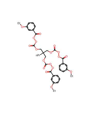 CCCC(COC(=O)OOC(=O)c1cccc(OCC)c1)(COC(=O)OOC(=O)c1cccc(OCC)c1)COC(=O)OOC(=O)c1cccc(OCC)c1